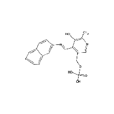 Cc1ncc(COP(=O)(O)O)c(C=Nc2ccc3ccccc3c2)c1O